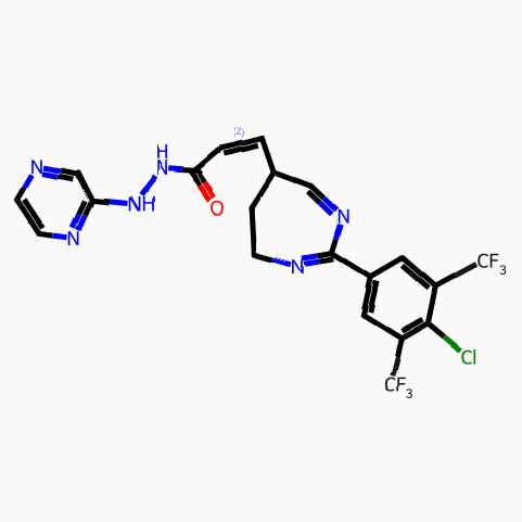 O=C(/C=C\C1C=NC(c2cc(C(F)(F)F)c(Cl)c(C(F)(F)F)c2)=NCC1)NNc1cnccn1